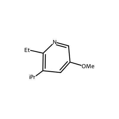 CCc1ncc(OC)cc1C(C)C